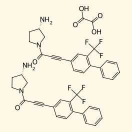 N[C@H]1CCN(C(=O)C#Cc2ccc(-c3ccccc3)c(C(F)(F)F)c2)C1.N[C@H]1CCN(C(=O)C#Cc2ccc(-c3ccccc3)c(C(F)(F)F)c2)C1.O=C(O)C(=O)O